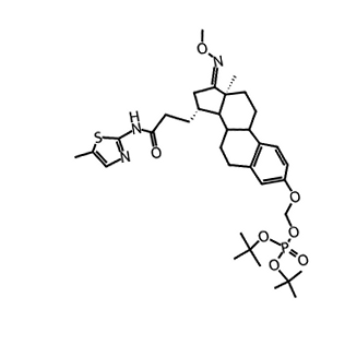 CO/N=C1\C[C@@H](CCC(=O)Nc2ncc(C)s2)C2C3CCc4cc(OCOP(=O)(OC(C)(C)C)OC(C)(C)C)ccc4C3CC[C@]12C